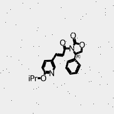 CC(C)Oc1ccc(C=CC(=O)N2C(=O)OC[C@H]2c2ccccc2)cn1